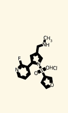 CNCc1cc(-c2cccnc2F)n(S(=O)(=O)c2ccoc2)c1.Cl